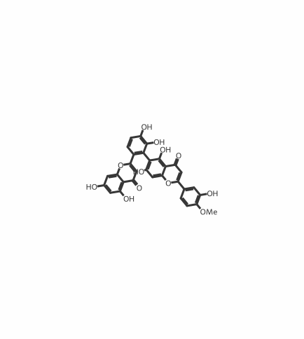 COc1ccc(-c2cc(=O)c3c(O)c(-c4c(-c5cc(=O)c6c(O)cc(O)cc6o5)ccc(O)c4O)c(O)cc3o2)cc1O